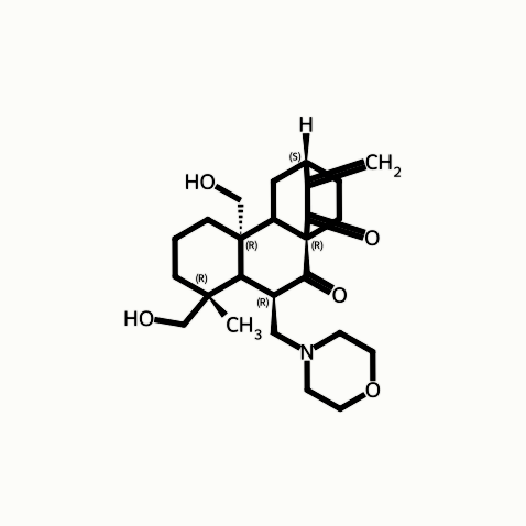 C=C1C(=O)[C@]23CC[C@H]1CC2[C@]1(CO)CCC[C@@](C)(CO)C1[C@H](CN1CCOCC1)C3=O